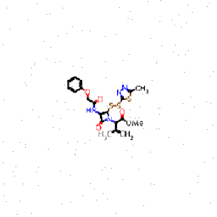 C=C(C)C(C(=O)OC)N1C(=O)C(NC(=O)COc2ccccc2)C1SSc1nnc(C)s1